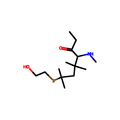 CCC(=O)C(NC)C(C)(C)CC(C)(C)SCCO